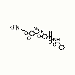 COc1cc2c(Oc3ccc(NC(=O)NC(=O)Cc4ccccc4)cc3F)ccnc2cc1OCCCN1CCOCC1